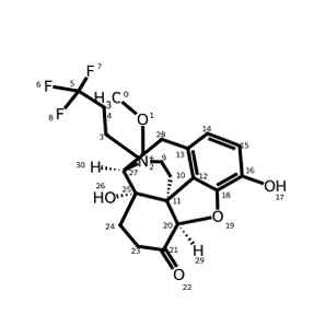 CO[N+]1(CCC(F)(F)F)CC[C@]23c4c5ccc(O)c4O[C@H]2C(=O)CC[C@@]3(O)[C@H]1C5